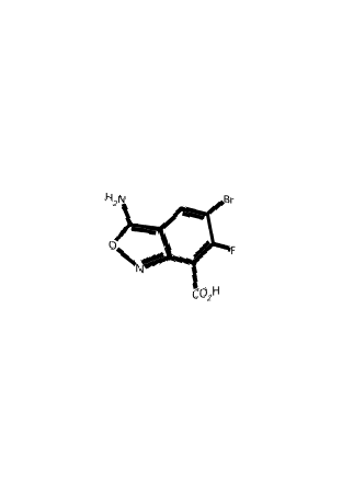 Nc1onc2c(C(=O)O)c(F)c(Br)cc12